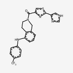 O=C(c1csc(-c2c[nH]cn2)n1)N1CCc2c(cccc2Nc2ccc(C(F)(F)F)cc2)C1